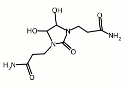 NC(=O)CCN1C(=O)N(CCC(N)=O)C(O)C1O